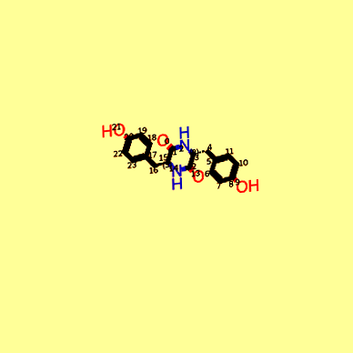 O=C1N[C@H](Cc2ccc(O)cc2)C(=O)N[C@H]1Cc1ccc(O)cc1